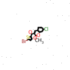 COC(=O)/C(=C\c1ccc(Cl)cc1)C(=O)c1ccc(Br)s1